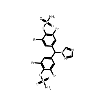 NS(=O)(=O)Oc1c(Br)cc(C(c2cc(Br)c(OS(N)(=O)=O)c(Br)c2)n2cncn2)cc1Br